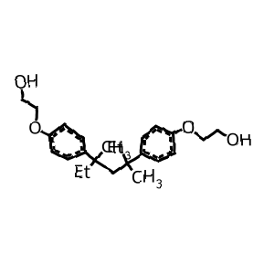 CCC(C)(CC(C)(CC)c1ccc(OCCO)cc1)c1ccc(OCCO)cc1